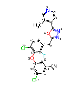 Cc1cnccc1-c1nnc(Cc2ccc(Cl)c(Oc3cc(Cl)cc(C#N)c3)c2F)o1